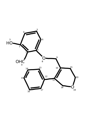 O=Cc1c(O)cccc1OCC1=C(c2ccccc2)COCC1